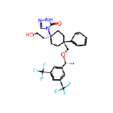 C[C@@H](OC[C@]1(c2ccccc2)CC[C@](CCO)(n2cn[nH]c2=O)CC1)c1cc(C(F)(F)F)cc(C(F)(F)F)c1